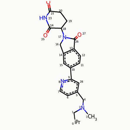 CC(C)CN(C)Cc1ccnc(-c2ccc3c(c2)CN(C2CCC(=O)NC2=O)C3=O)c1